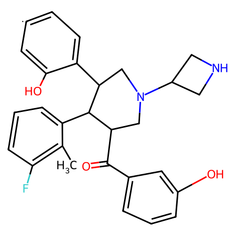 Cc1c(F)cccc1C1C(C(=O)c2cccc(O)c2)CN(C2CNC2)CC1c1cc[c]cc1O